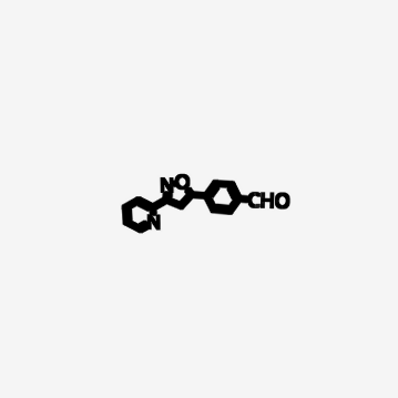 O=Cc1ccc(C2CC(c3ccccn3)=NO2)cc1